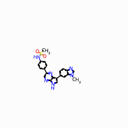 Cn1cnc2ccc(-c3c[nH]c4ncc(-c5ccc(NS(C)(=O)=O)cc5)nc34)cc21